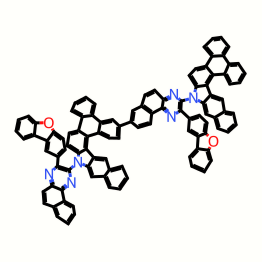 c1ccc2cc3c(cc2c1)c1c2c4ccccc4c4ccccc4c2ccc1n3-c1nc2ccc3cc(-c4ccc5c(c4)c4ccccc4c4ccc6c(c7cc8ccccc8cc7n6-c6nc7c(ccc8ccccc87)nc6-c6ccc7oc8ccccc8c7c6)c45)ccc3c2nc1-c1ccc2oc3ccccc3c2c1